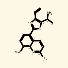 C=Cc1nc(-c2ccc(OC)c3nc(C(F)(F)F)ccc23)oc1C(C)N